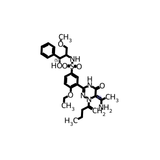 C=C(CCC)N1N=C(c2cc(S(=O)(=O)NC(COC)[C@@H](O)c3ccccc3)ccc2OCC)NC(=O)/C1=C(\C)N